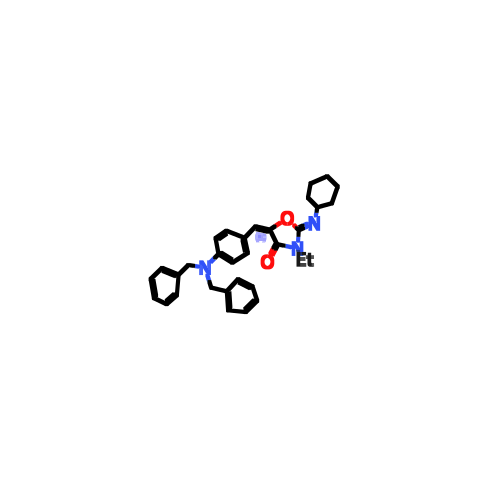 CCN1C(=O)/C(=C\c2ccc(N(Cc3ccccc3)Cc3ccccc3)cc2)OC1=NC1CCCCC1